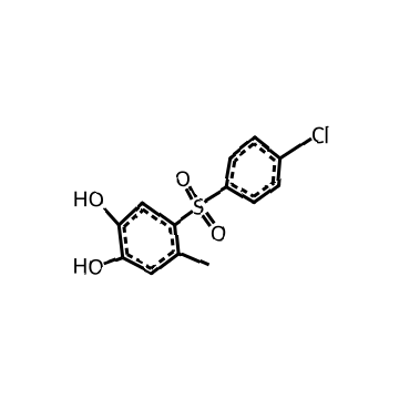 Cc1cc(O)c(O)cc1S(=O)(=O)c1ccc(Cl)cc1